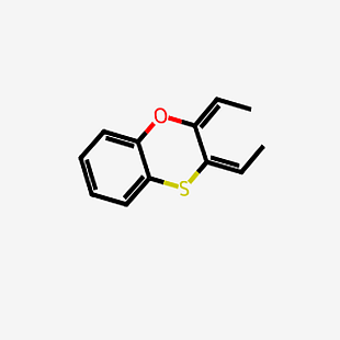 C/C=C1/Oc2ccccc2S/C1=C/C